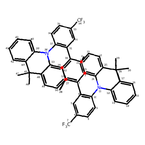 Cc1cc(-c2cc(C(F)(F)F)ccc2N2c3ccccc3C(C)(C)c3ccccc32)c(C)cc1-c1cc(C(F)(F)F)ccc1N1c2ccccc2C(C)(C)c2ccccc21